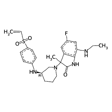 C=CS(=O)(=O)c1ccc(N[C@@H]2CCCN(C3(C)C(=O)Nc4c(NCC)cc(F)cc43)C2)cc1